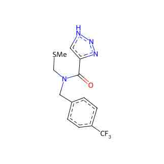 CSCN(Cc1ccc(C(F)(F)F)cc1)C(=O)c1c[nH]nn1